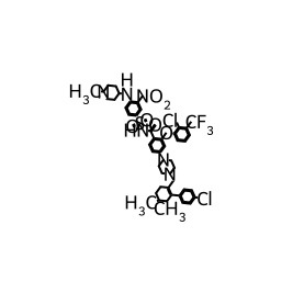 CN1CCC(Nc2ccc(S(=O)(=O)NC(=O)c3ccc(N4CCN(CC5=C(c6ccc(Cl)cc6)CC(C)(C)CC5)CC4)cc3Oc3cccc(C(F)(F)F)c3Cl)cc2[N+](=O)[O-])CC1